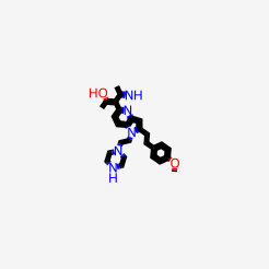 COc1ccc(CCc2cc3nc(/C(C(C)=N)=C(\C)O)ccc3n2CCN2CCNCC2)cc1